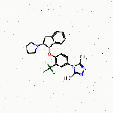 Cc1nnc(C)n1-c1ccc(OC2c3ccccc3CC2N2CCCC2)c(C(F)(F)F)c1